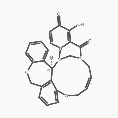 O=C1c2c(O)c(=O)ccn2N2CN1C/C=C\COc1cccc3c1[C@H]2c1ccccc1OC3